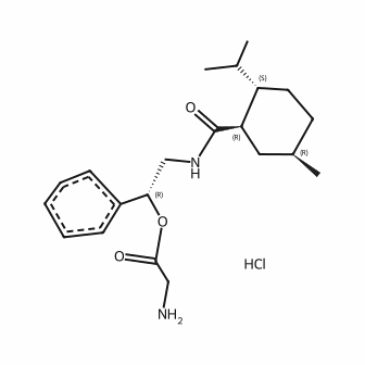 CC(C)[C@@H]1CC[C@@H](C)C[C@H]1C(=O)NC[C@H](OC(=O)CN)c1ccccc1.Cl